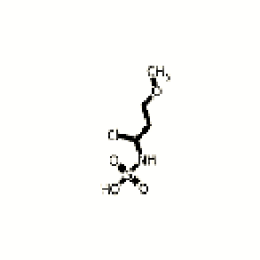 COCCC(Cl)NS(=O)(=O)O